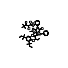 CCOC1(NC(=O)C(CC)Oc2ccc(C(C)(C)CC)cc2C(C)(C)CC)C(=O)N(c2ccccc2NC(=O)C(Cl)C(=O)C(C)(C)C)C(=O)N1Cc1ccccc1